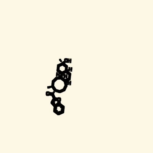 C[C@H]1CC[C@H]2[C@H](CCC[C@@H]1C(=O)c1cc3ccccc3o1)CC[C@@H]1C[C@](C)(O)CC[C@@H]12